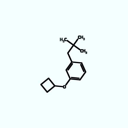 CC(C)(C)Cc1cccc(OC2CCC2)c1